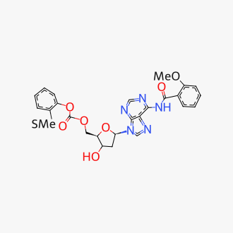 COc1ccccc1C(=O)Nc1ncnc2c1ncn2[C@H]1CC(O)[C@@H](COC(=O)Oc2ccccc2SC)O1